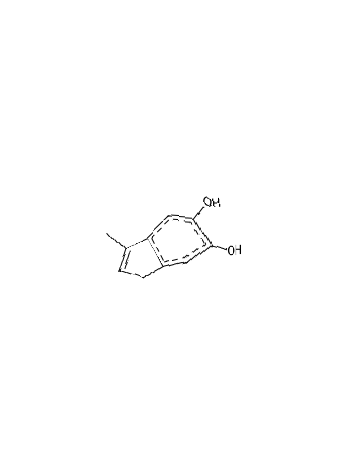 CC1=CCc2cc(O)c(O)cc21